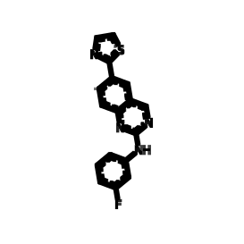 Fc1cccc(Nc2ncc3cc(-c4nccs4)[c]cc3n2)c1